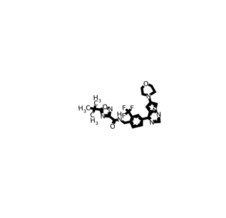 CC(C)(C)c1nc(C(=O)NCc2ccc(-c3ncnn4cc(N5CCOCC5)cc34)cc2C(F)(F)F)no1